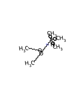 CCCCCCCCCOC(CCCCC/C=C/CCC[PH](c1ccc(C)cc1)(c1ccc(C)cc1)c1ccc(C)cc1)OCCCCCCCCC